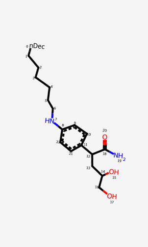 CCCCCCCCCCCCCCCCNc1ccc(C(CC(O)CO)C(N)=O)cc1